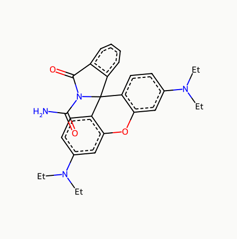 CCN(CC)c1ccc2c(c1)Oc1cc(N(CC)CC)ccc1C21c2ccccc2C(=O)N1C(N)=O